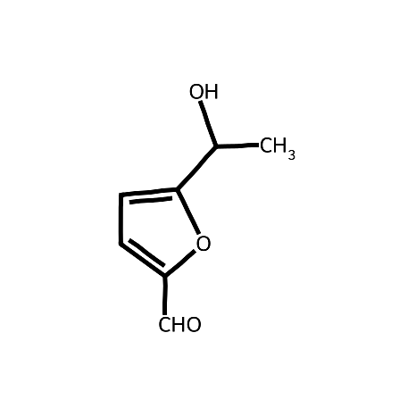 CC(O)c1ccc(C=O)o1